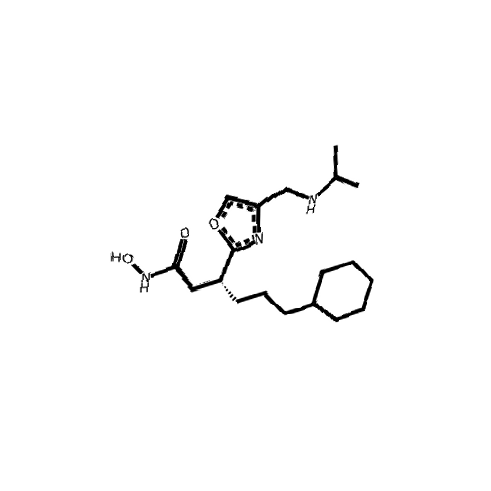 CC(C)NCc1coc([C@H](CCCC2CCCCC2)CC(=O)NO)n1